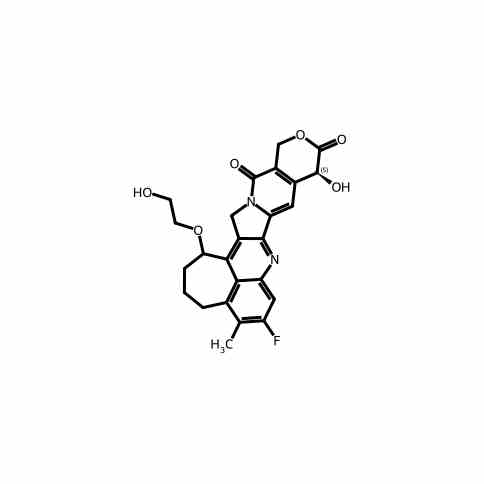 Cc1c(F)cc2nc3c(c4c2c1CCCC4OCCO)Cn1c-3cc2c(c1=O)COC(=O)[C@H]2O